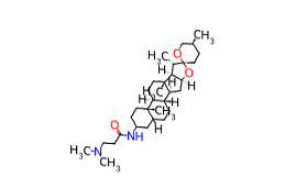 C[C@H]1CC[C@@]2(OC1)O[C@H]1C[C@H]3[C@@H]4CC[C@@H]5CC(NC(=O)CCN(C)C)CC[C@]5(C)[C@H]4CC[C@]3(C)[C@H]1[C@@H]2C